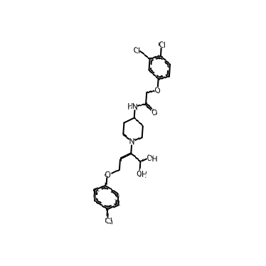 O=C(COc1ccc(Cl)c(Cl)c1)NC1CCN(C(CCOc2ccc(Cl)cc2)C(O)O)CC1